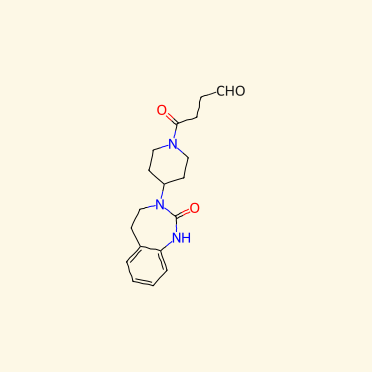 O=CCCC(=O)N1CCC(N2CCc3ccccc3NC2=O)CC1